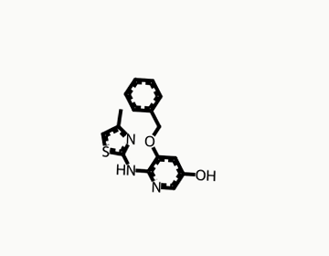 Cc1csc(Nc2ncc(O)cc2OCc2ccccc2)n1